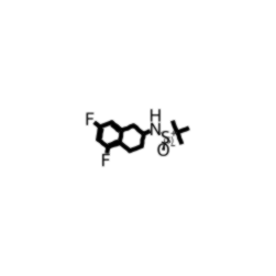 CC(C)(C)[S@@+]([O-])NC1CCc2c(F)cc(F)cc2C1